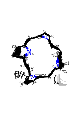 C1=CC2=NC1=CC1=NC(=CC3=NC(=CC4=NC(=C2)C=C4)C=C3)C=C1.[BiH3].[Cu]